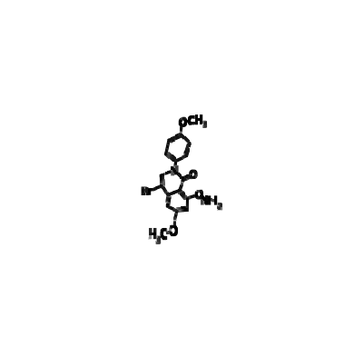 COc1ccc(-n2cc(Br)c3cc(OC)cc(ON)c3c2=O)cc1